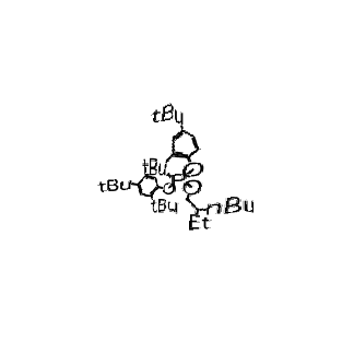 C=P(OCC(CC)CCCC)(Oc1ccc(C(C)(C)C)cc1C(C)(C)C)Oc1ccc(C(C)(C)C)cc1C(C)(C)C